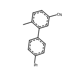 Cc1ccc(C#N)cc1-c1ccc(C(C)C)cc1